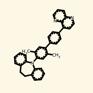 Cc1cc(N2c3ccccc3CCc3ccccc32)c(C)cc1-c1ccc(-c2ccnc3cccnc23)cc1